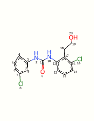 O=C(Nc1cccc(Cl)c1)Nc1cccc(Cl)c1CCO